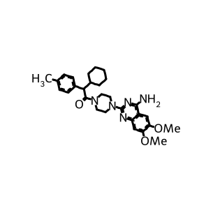 COc1cc2nc(N3CCN(C(=O)C(c4ccc(C)cc4)C4CCCCC4)CC3)nc(N)c2cc1OC